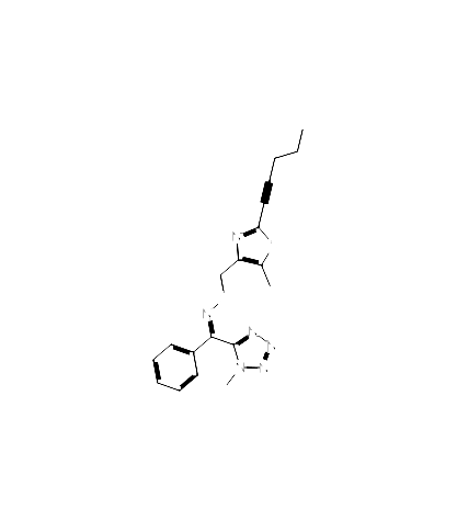 CCCC#Cc1nc(CON=C(c2ccccc2)c2nnnn2C)c(C)s1